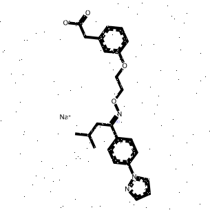 CC(C)C/C(=N\OCCOc1cccc(CC(=O)[O-])c1)c1ccc(-n2cccn2)cc1.[Na+]